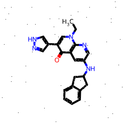 CCn1cc(-c2cn[nH]c2)c(=O)c2cc(NC3Cc4ccccc4C3)cnc21